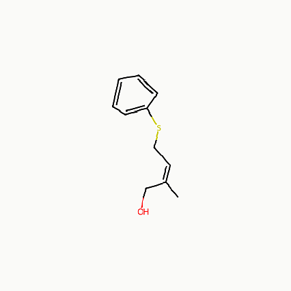 CC(=CCSc1ccccc1)CO